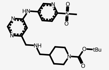 CC(C)(C)OC(=O)N1CCC(CNCc2cc(Nc3ccc(S(C)(=O)=O)nc3)ncn2)CC1